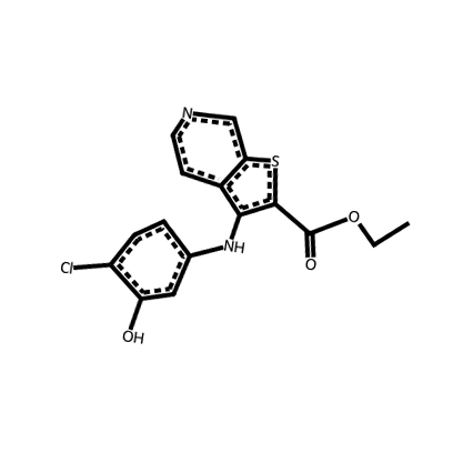 CCOC(=O)c1sc2cnccc2c1Nc1ccc(Cl)c(O)c1